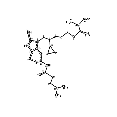 C=C(OCCC[C@H](Cn1c(=N)[nH]c2ccc(NC(=O)CCN(C)C)cc21)C1CC1)N(C)NC